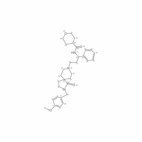 COc1ccc(CN2CCC3(CCN(CCC(NC(=O)C4CCOCC4)c4ccccc4)CC3)C2=O)cc1